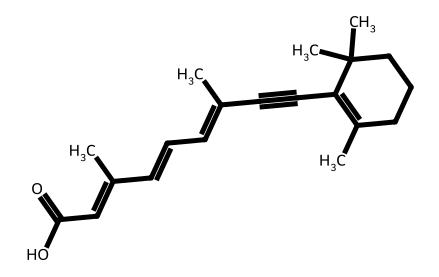 CC1=C(C#C/C(C)=C/C=C/C(C)=C/C(=O)O)C(C)(C)CCC1